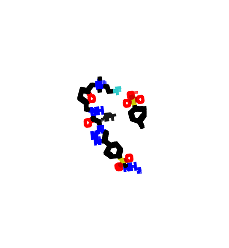 CC(C)[C@@H](C(=O)NCc1ccc(C[N+](C)(C)CCF)o1)n1cc(-c2ccc(S(N)(=O)=O)cc2)nn1.Cc1ccc(S(=O)(=O)[O-])cc1